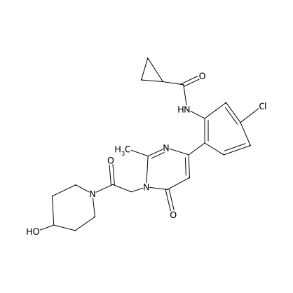 Cc1nc(-c2ccc(Cl)cc2NC(=O)C2CC2)cc(=O)n1CC(=O)N1CCC(O)CC1